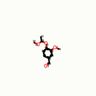 COc1cc(C=O)ccc1OC(C)OC